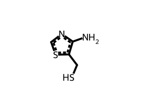 Nc1ncsc1CS